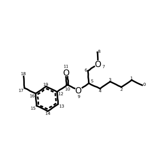 CCCCCC(COC)OC(=O)c1cccc(CC)c1